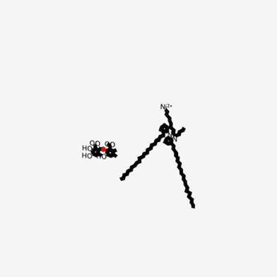 CCCCCCCCCCCCCCCCCCC=CCCc1ccccc1N=C(CCCC)C(CCCCCCCC)=Nc1ccccc1CCC=CCCCCCCCCCCCCCCCCCC.Cc1cc(O)c(O)c(C(=O)[O-])c1C.Cc1cc(O)c(O)c(C(=O)[O-])c1C.[Ni+2]